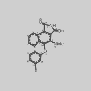 CNc1c2c(c3ccccc3c1Oc1cccc(C)c1)C(=O)NC2=O